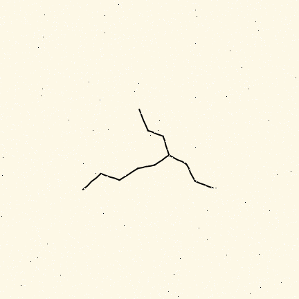 [CH2]CCC(CCC)CCCCC